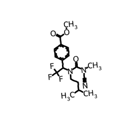 COC(=O)c1ccc(C(N(CCC(C)C)C(=O)N(C)C#N)C(F)(F)F)cc1